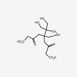 CC(CO)(CO)C(CO)(CC(=O)CC(=O)O)CC(=O)CC(=O)O